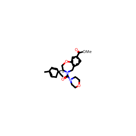 COC(=O)c1ccc2c(c1)OC[C@H](C1(C)C=CC(C)=CC1)N(C(=O)N1CCOCC1)C2